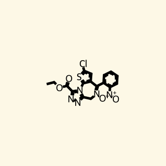 CCOC(=O)c1nnc2n1-c1sc(Cl)cc1C(c1ccccc1[N+](=O)[O-])=NC2